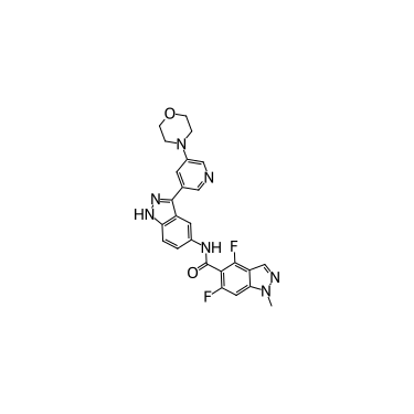 Cn1ncc2c(F)c(C(=O)Nc3ccc4[nH]nc(-c5cncc(N6CCOCC6)c5)c4c3)c(F)cc21